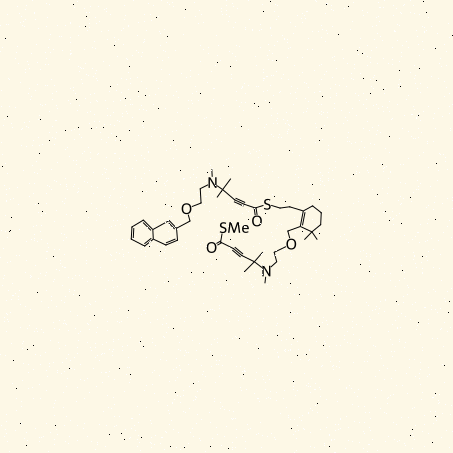 CSC(=O)C#CC(C)(C)N(C)CCOCC1=C(CCSC(=O)C#CC(C)(C)N(C)CCOCc2ccc3ccccc3c2)CCCC1(C)C